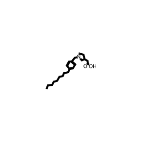 CCCCCCCCCc1ccc(CN2CCC(CC(=O)O)C2)cc1